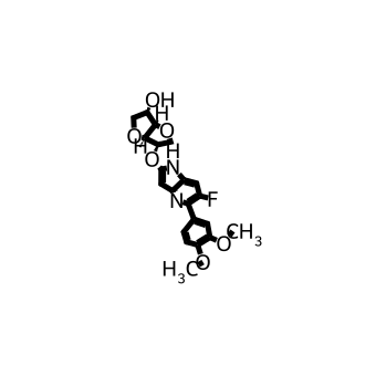 COc1ccc(-c2nc3cc(O[C@@H]4CO[C@H]5[C@@H]4OC[C@H]5O)[nH]c3cc2F)cc1OC